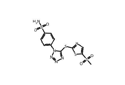 CS(=O)(=O)c1cnc(Sc2nnnn2-c2ccc(S(N)(=O)=O)cc2)s1